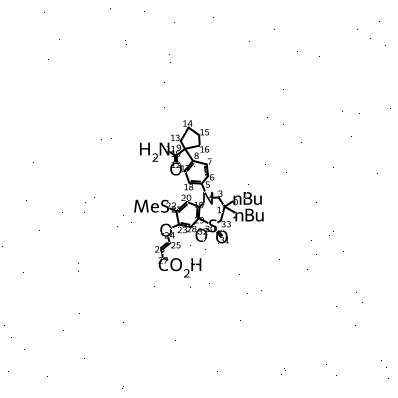 CCCCC1(CCCC)CN(c2ccc(C3(C(N)=O)CCCC3)cc2)c2cc(SC)c(OC=CC(=O)O)cc2S(=O)(=O)C1